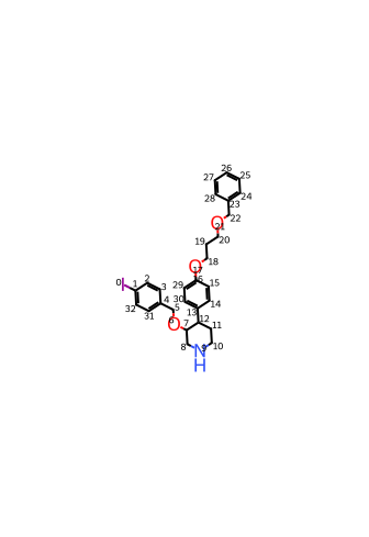 Ic1ccc(COC2CNCCC2c2ccc(OCCCOCc3ccccc3)cc2)cc1